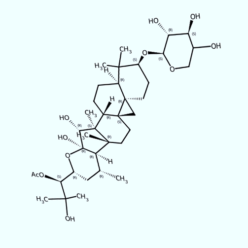 CC(=O)O[C@@H]([C@H]1C[C@@H](C)[C@H]2[C@@](O)(O1)[C@H](O)[C@@]1(C)[C@@H]3CC[C@H]4C(C)(C)[C@@H](O[C@@H]5OCC(O)[C@H](O)[C@H]5O)CC[C@@]45C[C@@]35CC[C@]21C)C(C)(C)O